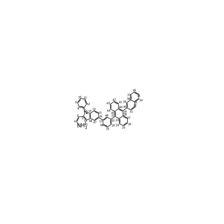 Cc1c(/C=C\N)n(-c2ccccc2)c2ccc(-c3cccc(-c4c5ccccc5c(-c5ccc6ccccc6c5)c5ccccc45)c3)cc12